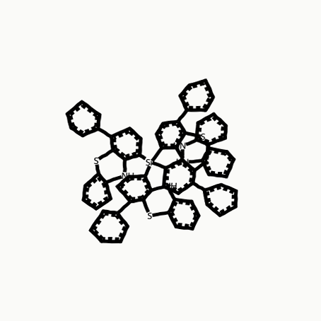 c1ccc(-c2ccc([Si](c3ccc(-c4ccccc4)c4c3Nc3ccccc3S4)(c3ccc(-c4ccccc4)c4c3Nc3ccccc3S4)c3ccc(-c4ccccc4)c4c3Nc3ccccc3S4)c3c2Sc2ccccc2N3)cc1